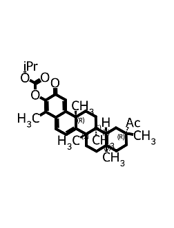 CC(=O)[C@]1(C)CC[C@]2(C)CC[C@]3(C)C4=CC=C5C(=CC(=O)C(OC(=O)OC(C)C)=C5C)[C@]4(C)CC[C@@]3(C)[C@@H]2C1